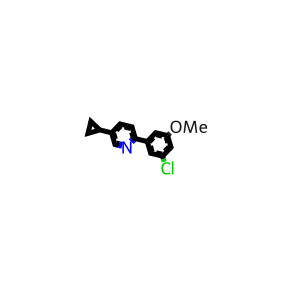 COc1cc(Cl)cc(-c2ccc(C3CC3)cn2)c1